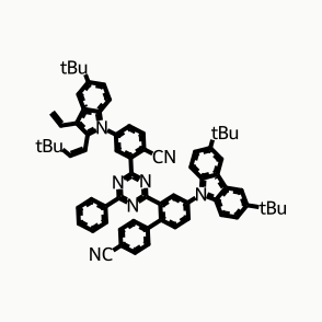 C=Cc1c(/C=C\C(C)(C)C)n(-c2ccc(C#N)c(-c3nc(-c4ccccc4)nc(-c4cc(-n5c6ccc(C(C)(C)C)cc6c6cc(C(C)(C)C)ccc65)ccc4-c4ccc(C#N)cc4)n3)c2)c2ccc(C(C)(C)C)cc12